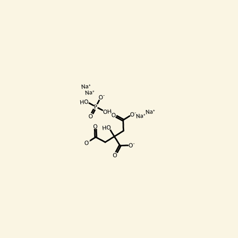 O=C([O-])CC(O)(CC(=O)[O-])C(=O)[O-].O=P([O-])(O)O.[Na+].[Na+].[Na+].[Na+]